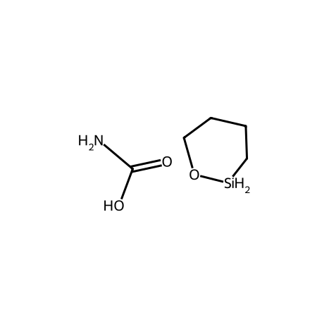 C1CC[SiH2]OC1.NC(=O)O